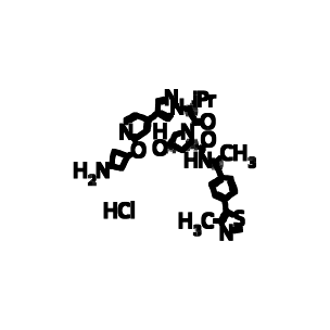 Cc1ncsc1-c1ccc([C@H](C)NC(=O)[C@@H]2C[C@@H](O)CN2C(=O)[C@@H](C(C)C)n2cc(-c3ccnc(OC4CC(N)C4)c3)cn2)cc1.Cl